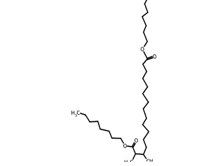 CCCCCCCCOC(=O)CCCCCCCCCCCCC(C)C(C)C(=O)OCCCCCCCC